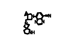 N#Cc1ccc(N2CC(CN3CC4(CCCNC4)C3)C3(CC3)C2)c2nccnc12